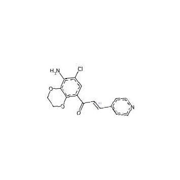 Nc1c(Cl)cc(C(=O)/C=C/c2ccncc2)c2c1OCCO2